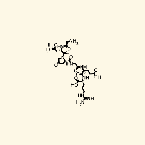 CC(C)C[C@H](NC(=O)CN)C(=O)N1C[C@H](O)C[C@H]1C(=O)NCC(=O)N[C@@H](CCC(=O)O)C(=O)N[C@@H](CCCNC(=N)N)C(=O)O